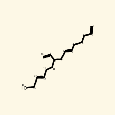 C=CCCCC=CCC(C=C)CCC=CCO